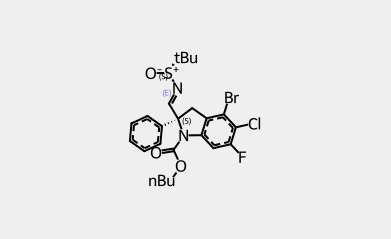 CCCCOC(=O)N1c2cc(F)c(Cl)c(Br)c2C[C@@]1(/C=N/[S@+]([O-])C(C)(C)C)c1ccccc1